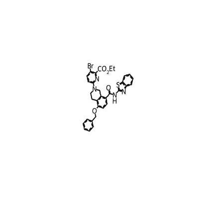 CCOC(=O)c1nc(N2CCc3c(OCc4ccccc4)ccc(C(=O)Nc4nc5ccccc5s4)c3C2)ccc1Br